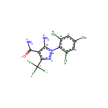 NC(=O)c1c(C(F)(F)F)nn(-c2c(Cl)cc(Cl)cc2Cl)c1N